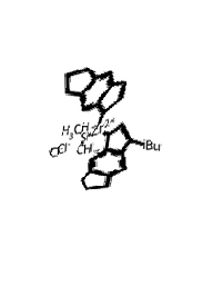 CCC(C)C1=C[CH]([Zr+2]([CH]2C=Cc3cc4c(cc32)CCC4)[SiH](C)C)c2cc3c(cc21)CCC3.[Cl-].[Cl-]